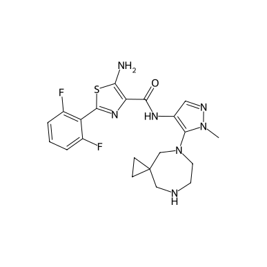 Cn1ncc(NC(=O)c2nc(-c3c(F)cccc3F)sc2N)c1N1CCNCC2(CC2)C1